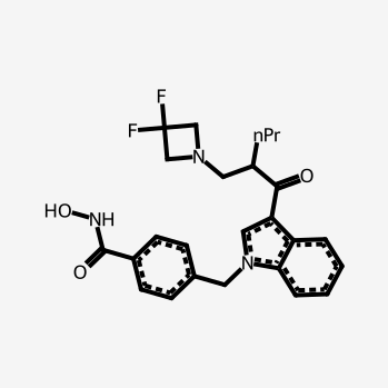 CCCC(CN1CC(F)(F)C1)C(=O)c1cn(Cc2ccc(C(=O)NO)cc2)c2ccccc12